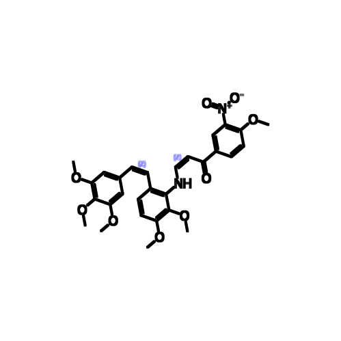 COc1ccc(C(=O)/C=C\Nc2c(/C=C\c3cc(OC)c(OC)c(OC)c3)ccc(OC)c2OC)cc1[N+](=O)[O-]